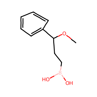 COC(CCB(O)O)c1ccccc1